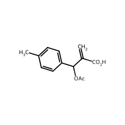 C=C(C(=O)O)C(OC(C)=O)c1ccc(C)cc1